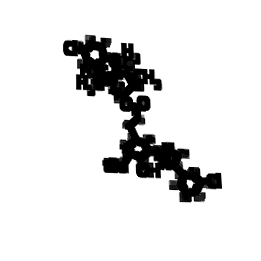 CC(C)(C)c1cc(CCC(=O)OC2CC(C)(C)N(Oc3ccc(Cl)cc3[N+](=O)[O-])C(C)(C)C2)cc(-n2ncc(-c3cccc(Cl)c3)n2)c1O